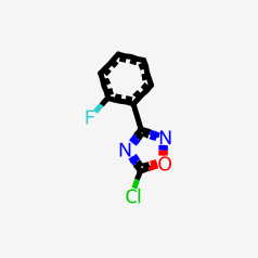 Fc1ccccc1-c1noc(Cl)n1